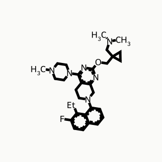 CCc1c(F)ccc2cccc(N3CCc4c(nc(OCC5(CN(C)C)CC5)nc4N4CCN(C)CC4)C3)c12